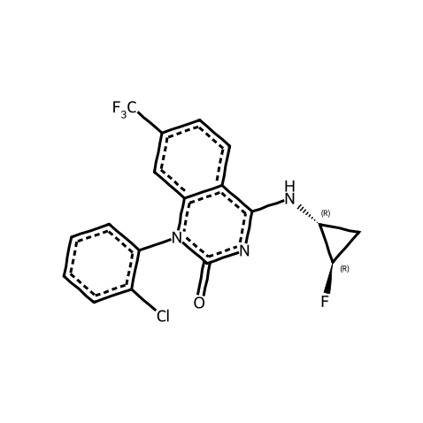 O=c1nc(N[C@@H]2C[C@H]2F)c2ccc(C(F)(F)F)cc2n1-c1ccccc1Cl